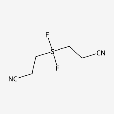 N#CCCS(F)(F)CCC#N